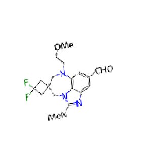 CNc1nc2cc(C=O)cc3c2n1CC1(CN3CCOC)CC(F)(F)C1